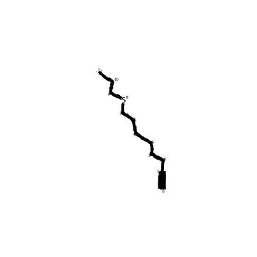 C#CCCCCCCSCC[CH2]